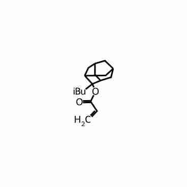 C=CC(=O)OC1(C(C)CC)C2CC3CC(C2)CC1C3